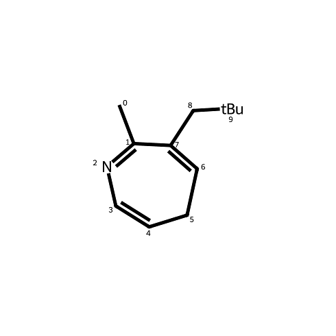 CC1=NC=CCC=C1CC(C)(C)C